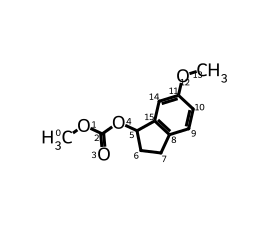 COC(=O)OC1CCc2ccc(OC)cc21